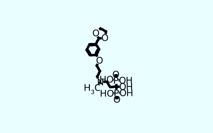 CN(CCCOc1cccc(C2OCCO2)c1)CCC(O)(P(=O)(O)O)P(=O)(O)O